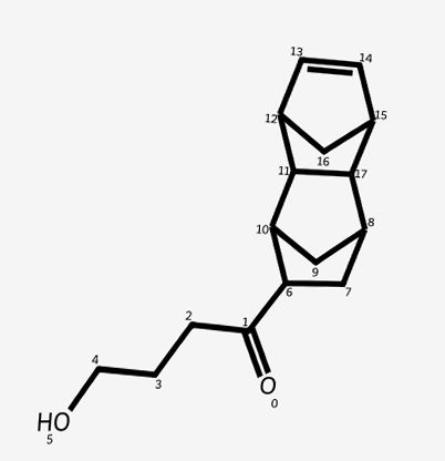 O=C(CCCO)C1CC2CC1C1C3C=CC(C3)C21